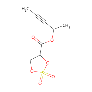 CC#CC(C)OC(=O)C1COS(=O)(=O)O1